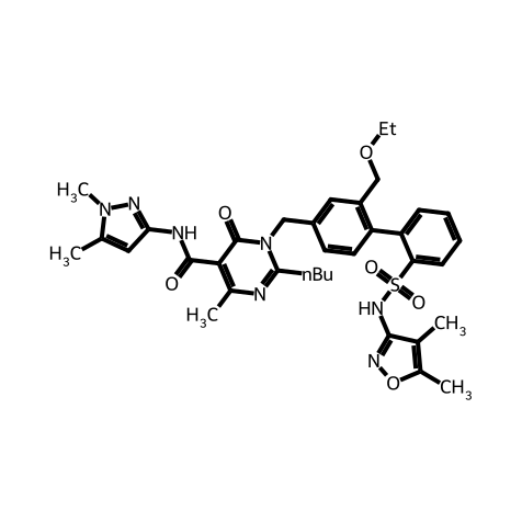 CCCCc1nc(C)c(C(=O)Nc2cc(C)n(C)n2)c(=O)n1Cc1ccc(-c2ccccc2S(=O)(=O)Nc2noc(C)c2C)c(COCC)c1